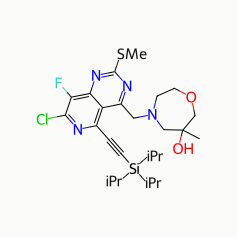 CSc1nc(CN2CCOCC(C)(O)C2)c2c(C#C[Si](C(C)C)(C(C)C)C(C)C)nc(Cl)c(F)c2n1